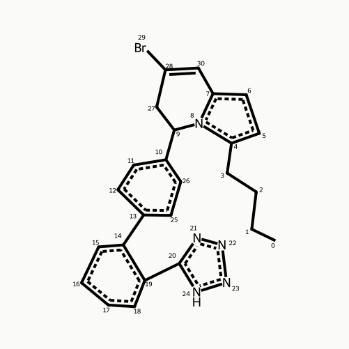 CCCCc1ccc2n1C(c1ccc(-c3ccccc3-c3nnn[nH]3)cc1)CC(Br)=C2